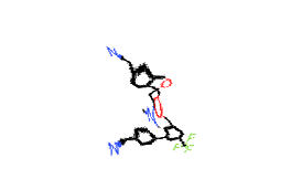 CN(C)CCC1(COCc2cc(-c3ccc(C#N)cc3)cc(C(F)(F)F)c2)OCc2cc(C#N)ccc21